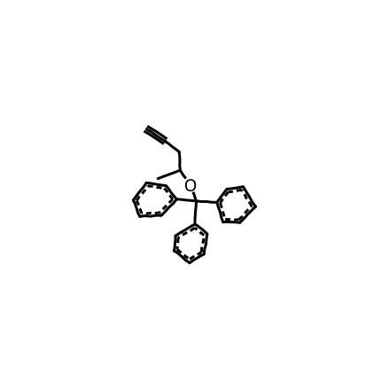 C#CCC(C)OC(c1ccccc1)(c1ccccc1)c1ccccc1